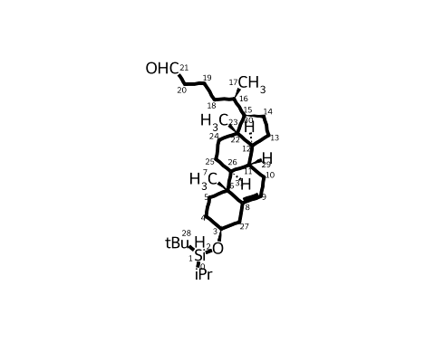 CC(C)[SiH](O[C@H]1CC[C@@]2(C)C(=CC[C@H]3[C@@H]4CC[C@H]([C@H](C)CCCC=O)[C@@]4(C)CC[C@@H]32)C1)C(C)(C)C